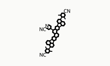 Cc1cc(C#N)cc(C)c1-c1ccc2c3c(cccc13)-c1cc3c(ccc4c5cc6c(cc5c(-c5ccnc(C#N)c5)cc34)-c3ccc(-c4c(C)cc(C#N)cc4C)c4cccc-6c34)cc1-2